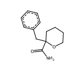 NC(=O)C1([CH]c2ccccc2)CCCCO1